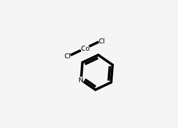 [Cl][Co][Cl].c1ccncc1